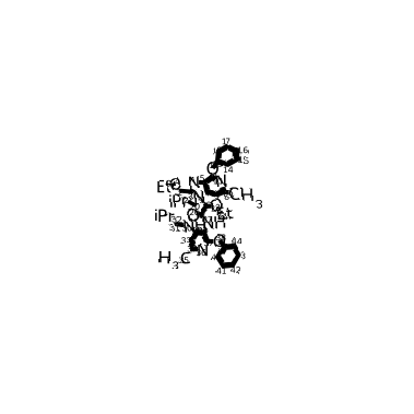 CCOCC1=Nc2c(cc(C)nc2Oc2ccccc2)[N+]1(CC(C)C)C(OCC)C(=O)Nc1c(NCC(C)C)cc(C)nc1Oc1ccccc1